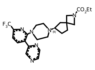 CCOC(=O)N1CC2(CC[C@@H](N3CCN(c4nc(C(F)(F)F)ccc4-c4cnccn4)CC3)C2)C1